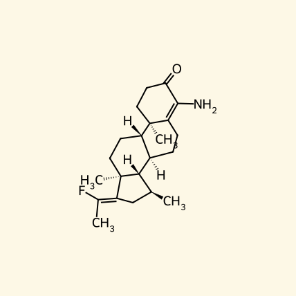 CC(F)=C1C[C@H](C)[C@H]2[C@@H]3CCC4=C(N)C(=O)CC[C@]4(C)[C@H]3CC[C@]12C